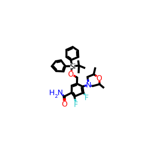 CC1CN(c2c(CO[Si](c3ccccc3)(c3ccccc3)C(C)(C)C)cc(C(N)=O)c(F)c2F)CC(C)O1